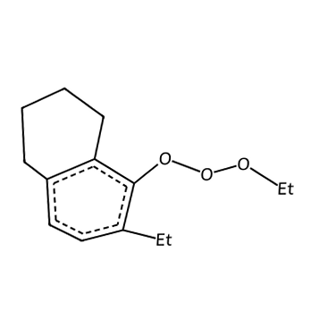 CCOOOc1c(CC)ccc2c1CCCC2